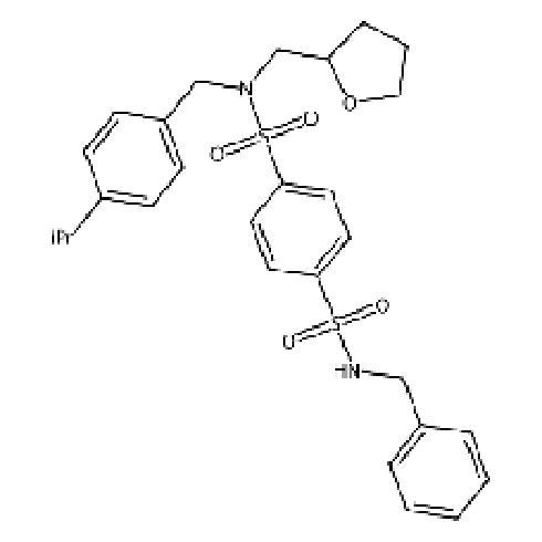 CC(C)c1ccc(CN(CC2CCCO2)S(=O)(=O)c2ccc(S(=O)(=O)NCc3ccccc3)cc2)cc1